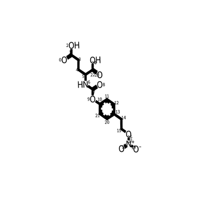 O=C(O)CCC(NC(=O)Oc1ccc(CCO[N+](=O)[O-])cc1)C(=O)O